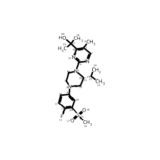 Cc1cnc(N2CCN(c3ccc(F)c(S(C)(=O)=O)c3)C[C@H]2C(C)C)nc1C(C)(C)O